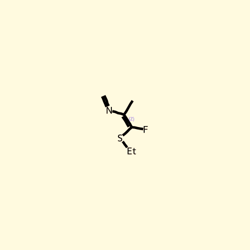 C=N/C(C)=C(/F)SCC